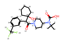 CC(C)(C)N(C(=O)O)C1CCN(C(=O)C(c2cccc(C(F)(F)F)c2)C2(O)CCCCC2)CC1